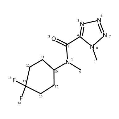 CN(C(=O)c1nnnn1C)C1CCC(F)(F)CC1